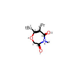 CC(C)C1=C(C(C)(C)C)OCC(=O)N(C)C1=O